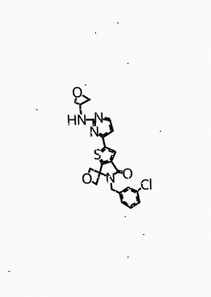 O=C1c2cc(-c3ccnc(NC4COC4)n3)sc2C2(COC2)N1Cc1cccc(Cl)c1